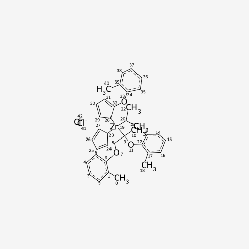 Cc1ccccc1OC[C](C)(Oc1ccccc1C)[Zr]([CH](C)C)([CH]1C=CC=C1)[CH]1C=CC=C1Oc1ccccc1C.[Cl-].[Cl-]